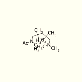 CC(=O)N(C)CC(C)(C)CC(C)(C)CN(C)C